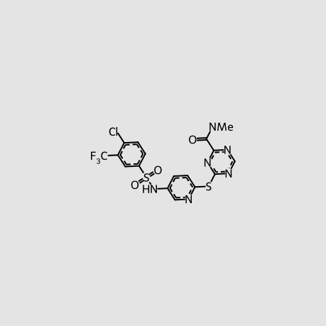 CNC(=O)c1ncnc(Sc2ccc(NS(=O)(=O)c3ccc(Cl)c(C(F)(F)F)c3)cn2)n1